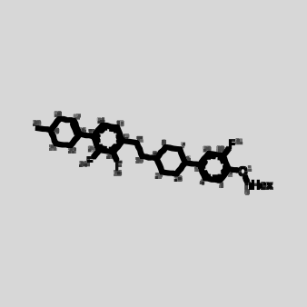 CCCCCCOc1ccc(C2CCC(CCc3ccc(C4=CCC(C)CC4)c(F)c3F)CC2)cc1F